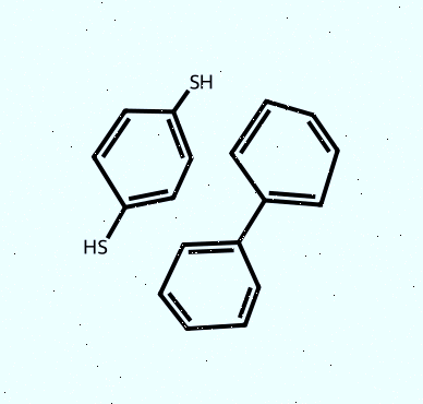 Sc1ccc(S)cc1.c1ccc(-c2ccccc2)cc1